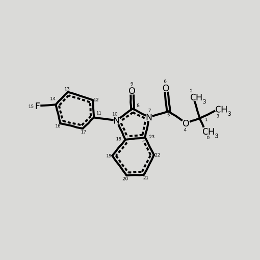 CC(C)(C)OC(=O)n1c(=O)n(-c2ccc(F)cc2)c2ccccc21